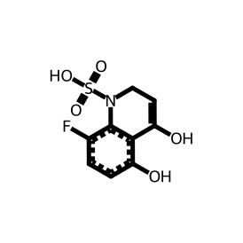 O=S(=O)(O)N1CC=C(O)c2c(O)ccc(F)c21